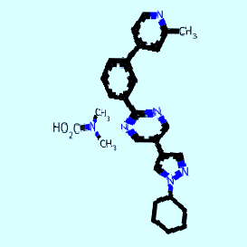 CN(C)C(=O)O.Cc1cc(-c2cccc(-c3ncc(-c4cnn(C5CCCCC5)c4)cn3)c2)ccn1